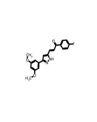 COc1cc(OC)cc(-c2cc(C=CC(=O)c3ccc(F)cc3)[nH]n2)c1